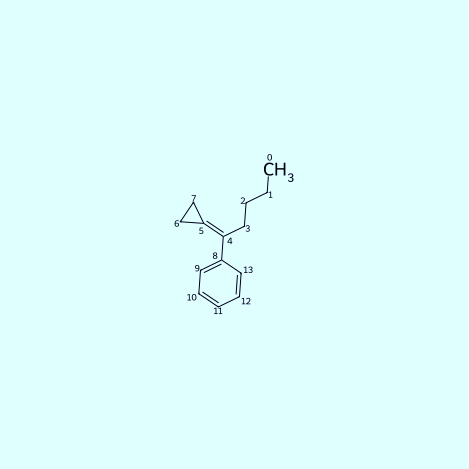 CCCCC(=C1CC1)c1ccccc1